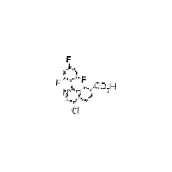 O=C(O)c1ccc2c(Cl)cnc(-c3c(F)cc(F)cc3F)c2c1